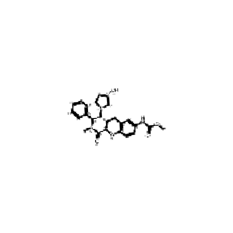 COC(=O)Nc1ccc2c(c1)CC[C@H](C(=O)N(C)[C@H](CN1CC[C@H](O)C1)c1ccccc1)O2